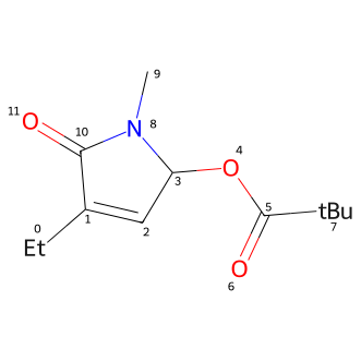 CCC1=CC(OC(=O)C(C)(C)C)N(C)C1=O